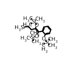 C[Si](C)(C)OC(CC[SiH3])=C(O[Si](C)(C)C)c1ccccc1O[Si](C)(C)C